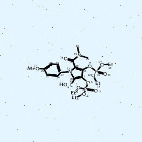 CCOP(=O)(OCC)Oc1c(OP(=O)(OCC)OCC)c(C(=O)N(C)C)n(-c2ccc(OC)cc2)c1C(=O)O